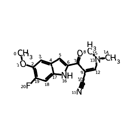 COc1cc2cc(C(=O)/C(C#N)=C\N(C)C)[nH]c2cc1F